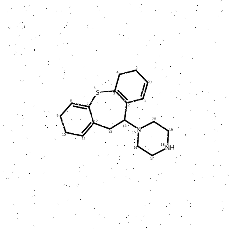 C1=CC2=C(CC1)SC1=CCCC=C1CC2N1CCNCC1